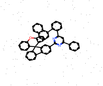 c1ccc(-c2cc(-c3ccccc3-c3cccc4ccccc34)nc(-c3ccc4c(c3)C3(c5ccccc5Oc5ccccc53)c3ccccc3-4)n2)cc1